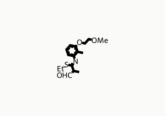 CCSC(=Nc1cccc(OCCOC)c1C)C(C)C=O